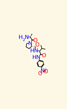 CC(C)[C@H](NC(=O)[C@@H]1CCCN1C(=O)[C@H](C)N)C(=O)Nc1ccc([N+](=O)[O-])cc1